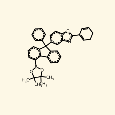 CC1(C)OB(c2cccc3c2-c2ccccc2C3(c2ccccc2)c2ccc3oc(C4=CCCC=C4)nc3c2)OC1(C)C